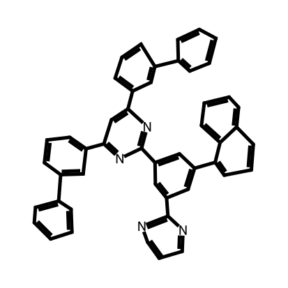 c1ccc(-c2cccc(-c3cc(-c4cccc(-c5ccccc5)c4)nc(-c4cc(-c5ncccn5)cc(-c5cccc6ccccc56)c4)n3)c2)cc1